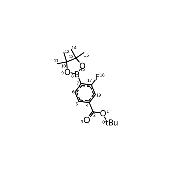 CC(C)(C)OC(=O)c1ccc(B2OC(C)(C)C(C)(C)O2)c(F)c1